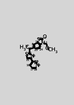 COCn1c(=O)sc2cc(C(C)c3nc(-c4cccnn4)cs3)ccc21